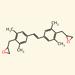 Cc1cc(C=Cc2cc(C)c(CC3CO3)c(C)c2)cc(C)c1CC1CO1